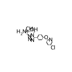 C[C@](N)(CO)Cn1nnc(-c2ccc(Oc3ccc(Cl)cn3)cc2)n1